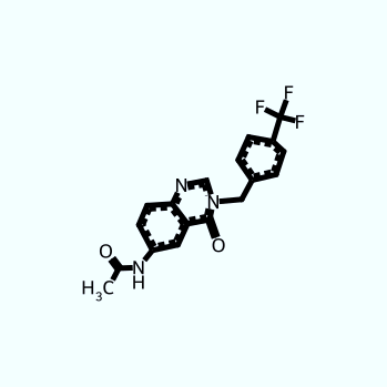 CC(=O)Nc1ccc2ncn(Cc3ccc(C(F)(F)F)cc3)c(=O)c2c1